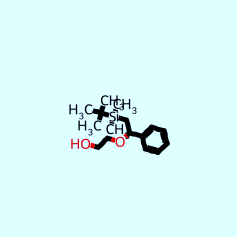 CC(C)(C)[Si](C)(C)CC(OCCO)c1ccccc1